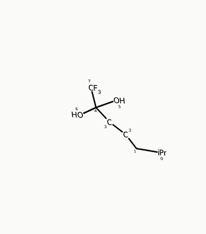 CC(C)CCCC(O)(O)C(F)(F)F